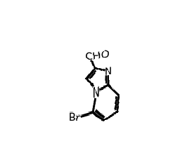 O=Cc1cn2c(Br)cccc2n1